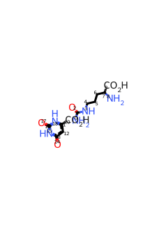 NC(=O)NCCCC(N)C(=O)O.O=C(O)c1cc(=O)[nH]c(=O)[nH]1